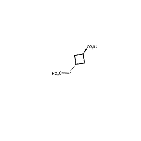 CCOC(=O)[C@H]1C[C@H](CC(=O)O)C1